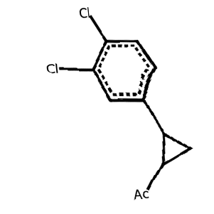 CC(=O)C1CC1c1ccc(Cl)c(Cl)c1